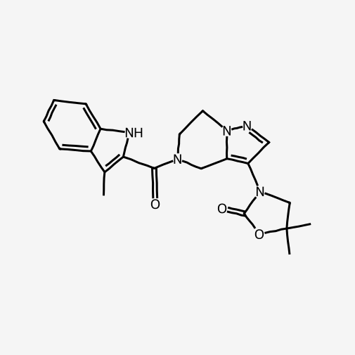 Cc1c(C(=O)N2CCn3ncc(N4CC(C)(C)OC4=O)c3C2)[nH]c2ccccc12